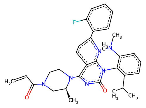 C=CC(=O)N1CCN(c2nc(=O)n(-c3c(C(C)C)cccc3N(C)C)c3nc(-c4ccccc4F)ccc23)[C@@H](C)C1